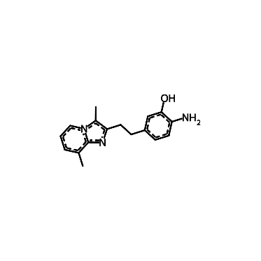 Cc1cccn2c(C)c(CCc3ccc(N)c(O)c3)nc12